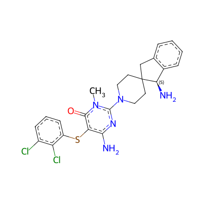 Cn1c(N2CCC3(CC2)Cc2ccccc2[C@H]3N)nc(N)c(Sc2cccc(Cl)c2Cl)c1=O